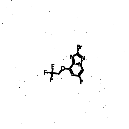 Fc1cc(OCC(F)(F)F)c2nc(Br)nn2c1